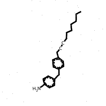 CCCCCCCCCCc1ccc(Cc2ccc(N)cc2)cc1